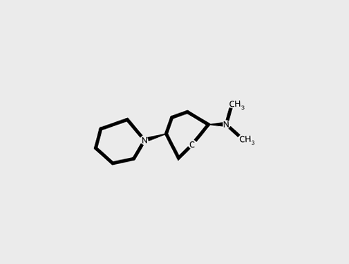 CN(C)[C@H]1CC[C@@H](N2CCCCC2)CC1